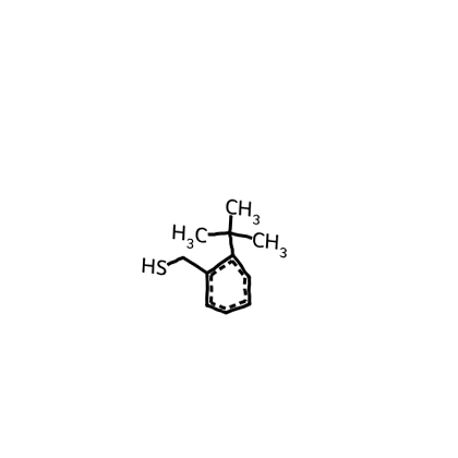 CC(C)(C)c1ccccc1CS